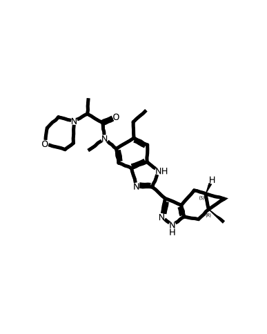 CCc1cc2[nH]c(-c3n[nH]c4c3C[C@@H]3C[C@]3(C)C4)nc2cc1N(C)C(=O)C(C)N1CCOCC1